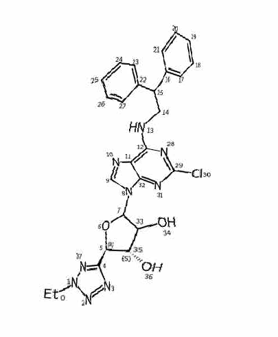 CCn1nnc([C@H]2OC(n3cnc4c(NCC(c5ccccc5)c5ccccc5)nc(Cl)nc43)C(O)[C@@H]2O)n1